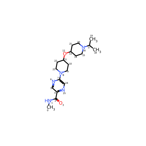 CNC(=O)c1cnc(N2CCC(OC3CCN(C(C)C)CC3)CC2)cn1